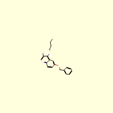 [CH2]CCCNc1c(N)cnc2ccc(OCc3ccccc3)cc12